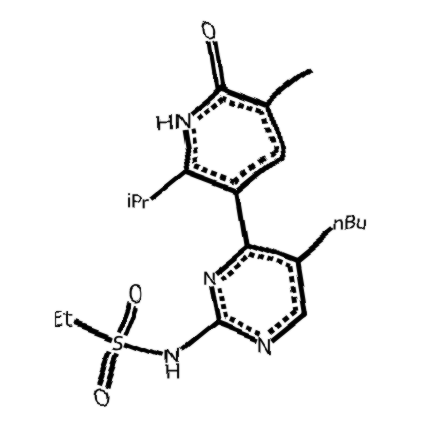 CCCCc1cnc(NS(=O)(=O)CC)nc1-c1cc(C)c(=O)[nH]c1C(C)C